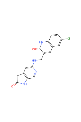 O=C1Cc2cc(NCc3cc4cc(Cl)ccc4[nH]c3=O)ncc2N1